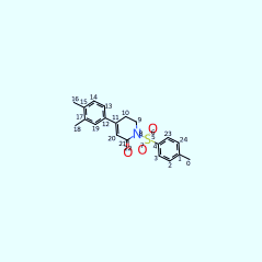 Cc1ccc(S(=O)(=O)N2CCC(c3ccc(C)c(C)c3)=CC2=O)cc1